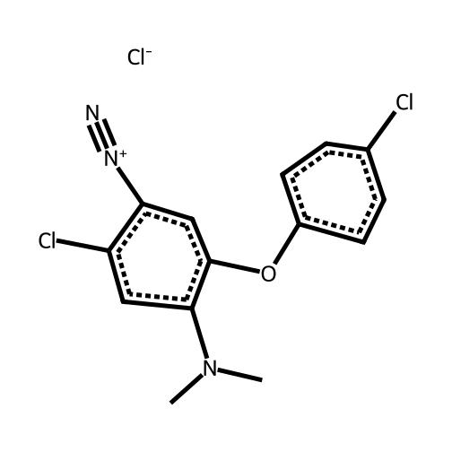 CN(C)c1cc(Cl)c([N+]#N)cc1Oc1ccc(Cl)cc1.[Cl-]